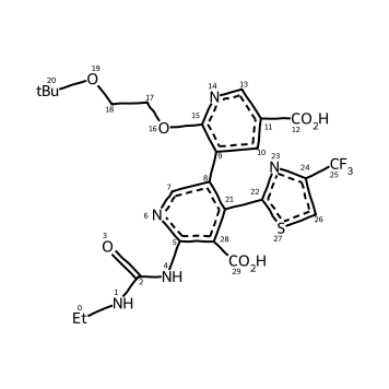 CCNC(=O)Nc1ncc(-c2cc(C(=O)O)cnc2OCCOC(C)(C)C)c(-c2nc(C(F)(F)F)cs2)c1C(=O)O